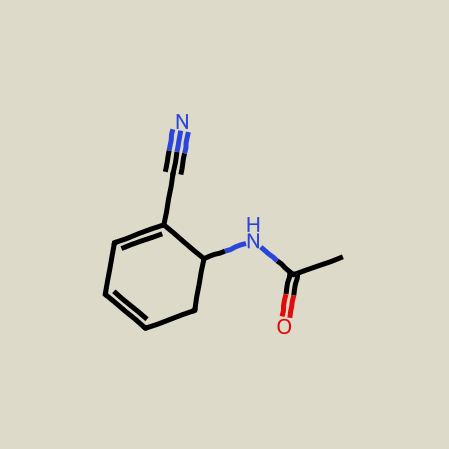 CC(=O)NC1CC=CC=C1C#N